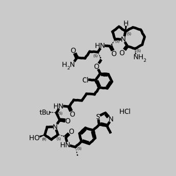 Cc1ncsc1-c1ccc([C@H](C)NC(=O)[C@@H]2C[C@@H](O)CN2C(=O)[C@@H](NC(=O)CCCCc2cccc(OC[C@H](CCC(N)=O)NC(=O)[C@@H]3CC[C@@H]4CCCC[C@H](N)C(=O)N43)c2Cl)C(C)(C)C)cc1.Cl